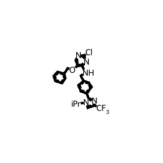 CC(C)n1cc(C(F)(F)F)nc1-c1ccc(CNc2nc(Cl)ncc2OCc2ccccc2)cc1